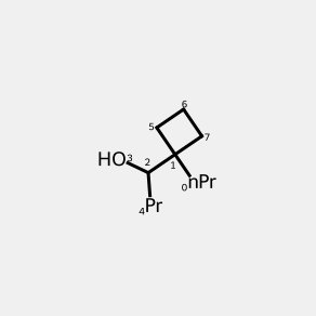 CCCC1([CH](O)[Pr])CCC1